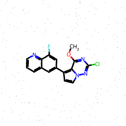 COc1nc(Cl)nn2ccc(-c3cc(F)c4ncccc4c3)c12